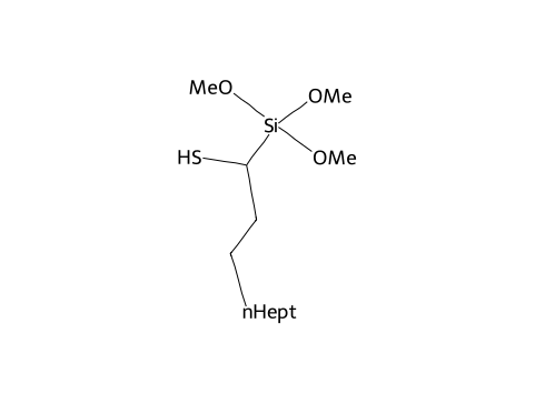 CCCCCCCCCC(S)[Si](OC)(OC)OC